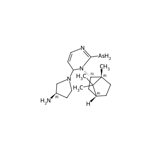 CC1(C)[C@@H]2CC[C@@]1(C)[C@@H](N1C([AsH2])=NC=CC1N1CC[C@@H](N)C1)C2